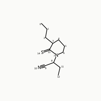 CCCC1CCCN(C(C#N)CC)C1=S